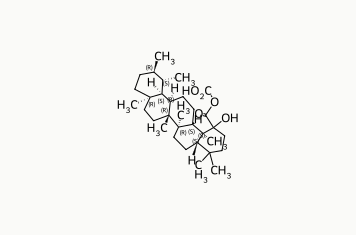 C[C@@H]1[C@H]2[C@H]3CC[C@@H]4[C@]5(C)[C@@H](CC[C@@]4(C)[C@]3(C)CC[C@@]2(C)CC[C@H]1C)C(C)(C)CCC5(O)C(=O)OC(=O)O